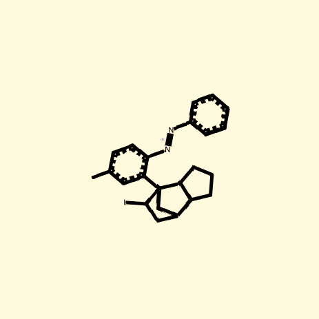 Cc1ccc(/N=N/c2ccccc2)c(C23CC(CC2I)C2CCCC23)c1